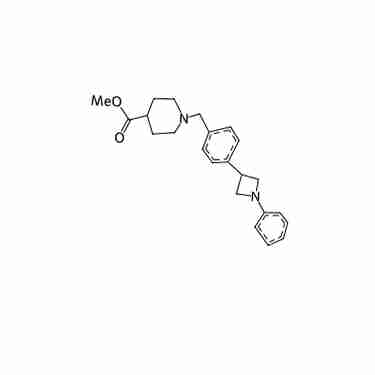 COC(=O)C1CCN(Cc2ccc(C3CN(c4ccccc4)C3)cc2)CC1